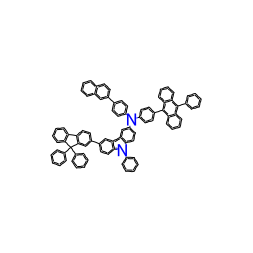 c1ccc(-c2c3ccccc3c(-c3ccc(N(c4ccc(-c5ccc6ccccc6c5)cc4)c4ccc5c(c4)c4cc(-c6ccc7c(c6)C(c6ccccc6)(c6ccccc6)c6ccccc6-7)ccc4n5-c4ccccc4)cc3)c3ccccc23)cc1